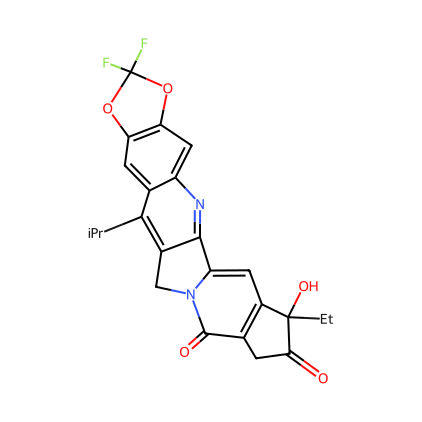 CCC1(O)C(=O)Cc2c1cc1n(c2=O)Cc2c-1nc1cc3c(cc1c2C(C)C)OC(F)(F)O3